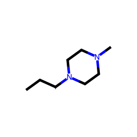 CC[CH]N1CCN(C)CC1